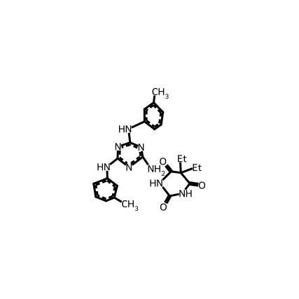 CCC1(CC)C(=O)NC(=O)NC1=O.Cc1cccc(Nc2nc(N)nc(Nc3cccc(C)c3)n2)c1